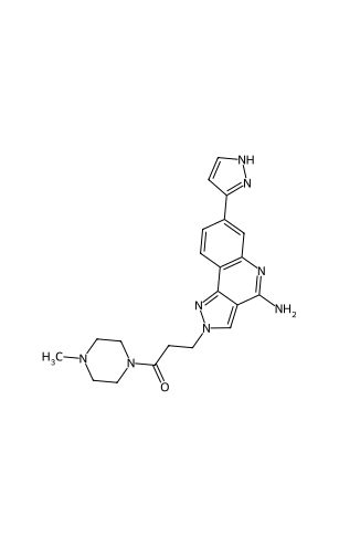 CN1CCN(C(=O)CCn2cc3c(N)nc4cc(-c5cc[nH]n5)ccc4c3n2)CC1